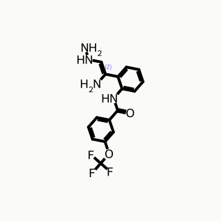 NN/C=C(\N)c1ccccc1NC(=O)c1cccc(OC(F)(F)F)c1